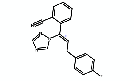 N#Cc1ccccc1/C(=C/Cc1ccc(F)cc1)n1cncn1